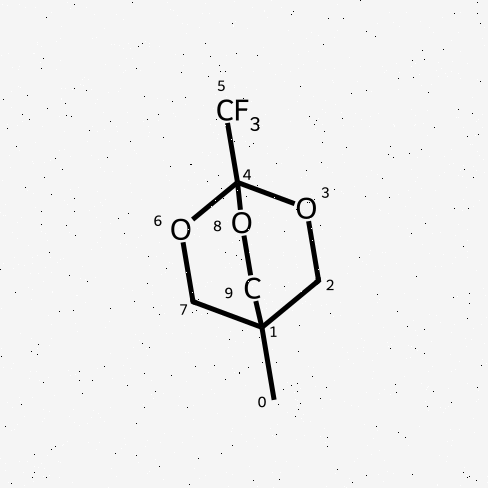 CC12COC(C(F)(F)F)(OC1)OC2